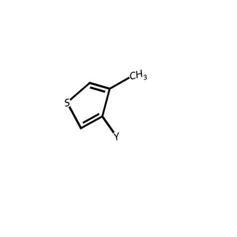 Cc1csc[c]1[Y]